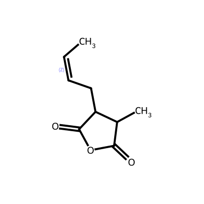 C/C=C\CC1C(=O)OC(=O)C1C